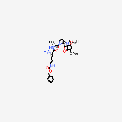 COC1CC(=O)C(C(=O)[C@@H]2CCCN2C(=O)[C@H](C)NC(=O)[C@@H](N)CCCCNC(=O)OCc2ccccc2)(N(C(=O)O)C(C)C)C1=O